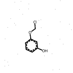 Oc1cccc(OCCl)c1